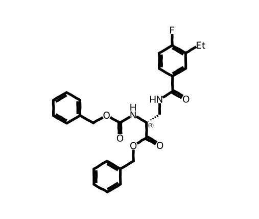 CCc1cc(C(=O)NC[C@@H](NC(=O)OCc2ccccc2)C(=O)OCc2ccccc2)ccc1F